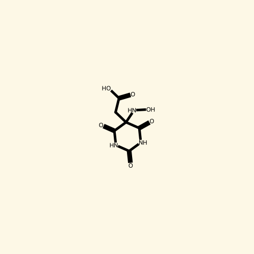 O=C(O)CC1(NO)C(=O)NC(=O)NC1=O